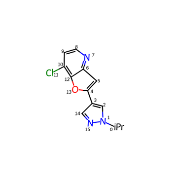 CC(C)n1cc(-c2cc3nccc(Cl)c3o2)cn1